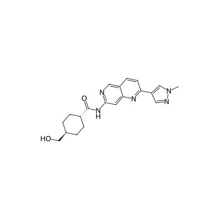 Cn1cc(-c2ccc3cnc(NC(=O)[C@H]4CC[C@H](CO)CC4)cc3n2)cn1